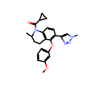 COc1cccc(Oc2c(-c3cn(C)nn3)ccc3c2CCC(C)N3C(=O)C2CC2)c1